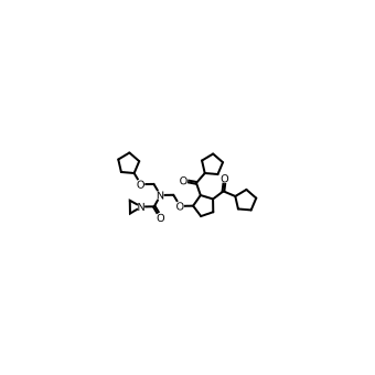 O=C(C1CCCC1)C1CCC(OCN(COC2CCCC2)C(=O)N2CC2)C1C(=O)C1CCCC1